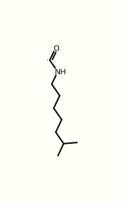 CC(C)CCCCCN[C]=O